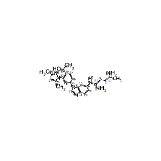 C/C(N)=C/C=C(\N)Nc1ccc2ncn(-c3ccc(C(C)O)c(-n4nc(C)cc4C)n3)c2c1